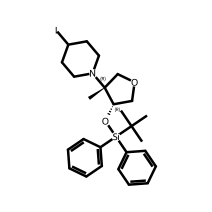 CC(C)(C)[Si](O[C@H]1COC[C@@]1(C)N1CCC(I)CC1)(c1ccccc1)c1ccccc1